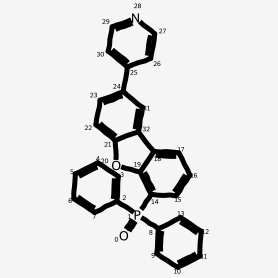 O=P(c1ccccc1)(c1ccccc1)c1cccc2c1oc1ccc(-c3ccncc3)cc12